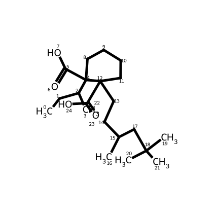 CCC(C)C1(C(=O)O)CCCCC1(CCC(C)CC(C)(C)C)C(=O)O